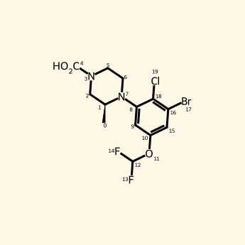 C[C@H]1CN(C(=O)O)CCN1c1cc(OC(F)F)cc(Br)c1Cl